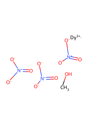 CO.O=[N+]([O-])[O-].O=[N+]([O-])[O-].O=[N+]([O-])[O-].[Dy+3]